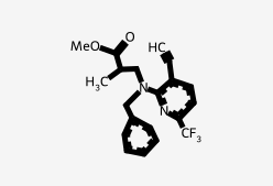 C#Cc1ccc(C(F)(F)F)nc1N(Cc1ccccc1)CC(C)C(=O)OC